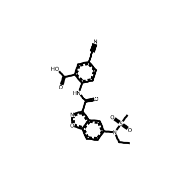 CCN(c1ccc2onc(C(=O)Nc3ccc(C#N)cc3C(=O)O)c2c1)S(C)(=O)=O